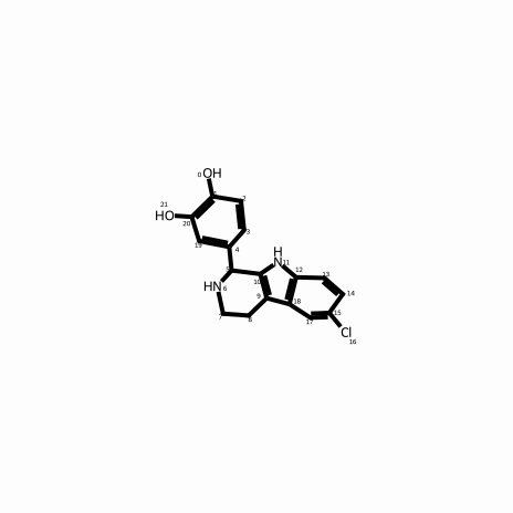 Oc1ccc(C2NCCc3c2[nH]c2ccc(Cl)cc32)cc1O